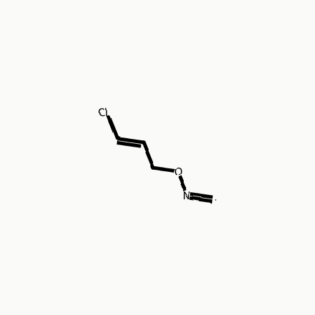 [CH]=NOCC=CCl